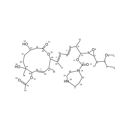 CCC(OC)C(C)C1OC1C(OC(=O)N1CCCNCC1)C(C)/C=C/C=C(\C)C1OC(=O)CC(O)CCC(C)(O)C(OC(C)=O)/C=C/C1C